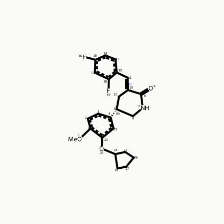 COc1ccc([C@H]2CNC(=O)/C(=C/c3ccc(F)cc3F)C2)cc1OC1CCCC1